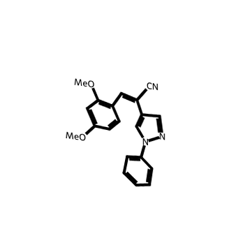 COc1ccc(C=C(C#N)c2cnn(-c3ccccc3)c2)c(OC)c1